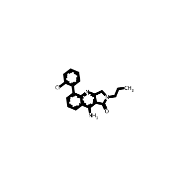 CCCN1Cc2nc3c(-c4ccccc4Cl)cccc3c(N)c2C1=O